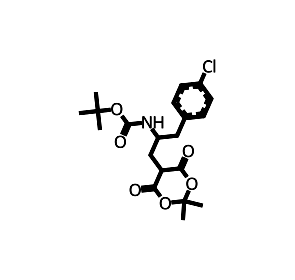 CC(C)(C)OC(=O)NC(Cc1ccc(Cl)cc1)CC1C(=O)OC(C)(C)OC1=O